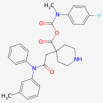 Cc1cccc(N(C(=O)CC2(C(=O)OC(=O)N(C)c3ccc(F)cc3)CCNCC2)c2ccccc2)c1